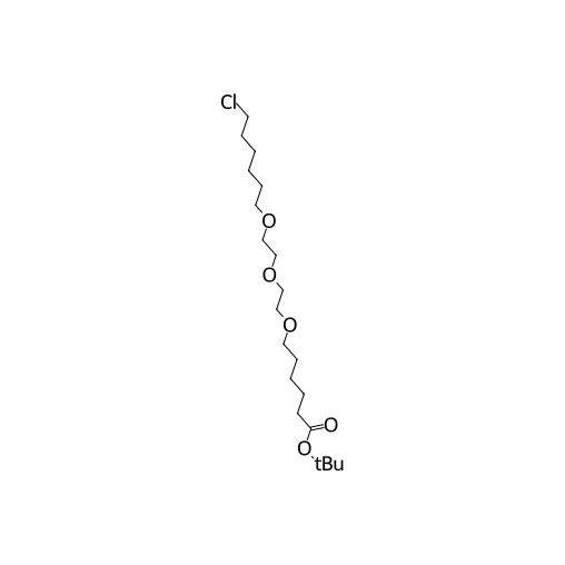 CC(C)(C)OC(=O)CCCCCOCCOCCOCCCCCCCl